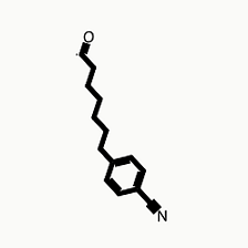 N#Cc1ccc(CCCCCC[C]=O)cc1